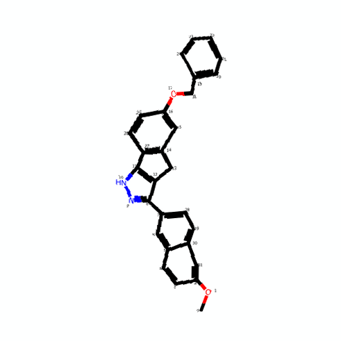 COc1ccc2cc(-c3n[nH]c4c3Cc3cc(OCc5ccccc5)ccc3-4)ccc2c1